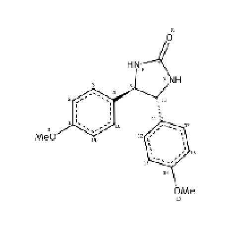 COc1ccc([C@H]2NC(=O)N[C@@H]2c2ccc(OC)cc2)cc1